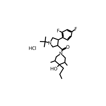 CCCC1(O)C(C)CN(C(=O)C2CN(C(C)(C)C)CC2c2ccc(F)cc2F)CC1C.Cl